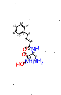 NCC(NC(=O)CCCc1ccccc1)C(=O)NO